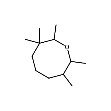 CC1CCCC(C)(C)C(C)OC1C